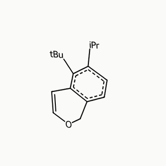 CC(C)c1ccc2c(c1C(C)(C)C)C=COC2